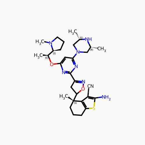 C[C@@H]1CN(c2cc(O[C@@H](C)[C@@H]3CCCN3C)nc(C3=NOC([C@@]4(C)CCCc5sc(N)c(C#N)c54)C3)n2)C[C@H](C)N1